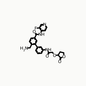 NCc1ccc(C(=O)Nc2ccncc2F)cc1-c1cccc(NC(=O)COC2CCOC2=O)c1